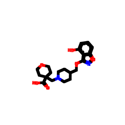 O=C(O)C1(CN2CCC(COc3noc4cccc(O)c34)CC2)CCOCC1